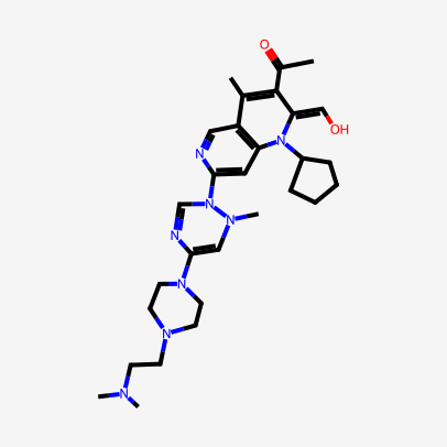 CC(=O)C1=C(C)c2cnc(N3C=NC(N4CCN(CCN(C)C)CC4)=CN3C)cc2N(C2CCCC2)C1=CO